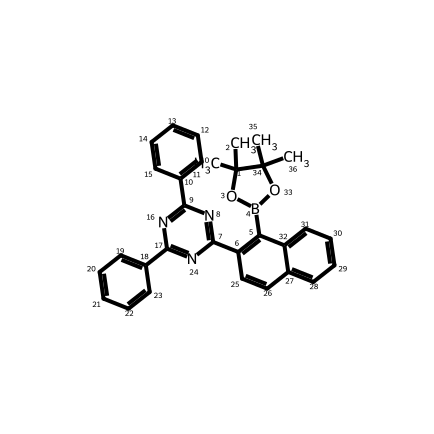 CC1(C)OB(c2c(-c3nc(-c4ccccc4)nc(-c4ccccc4)n3)ccc3ccccc23)OC1(C)C